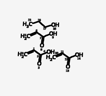 C=CC(=O)O.C=CC(=O)O.C=CC(=O)O.CCCO